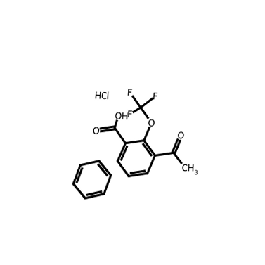 CC(=O)c1cccc(C(=O)O)c1OC(F)(F)F.Cl.c1ccccc1